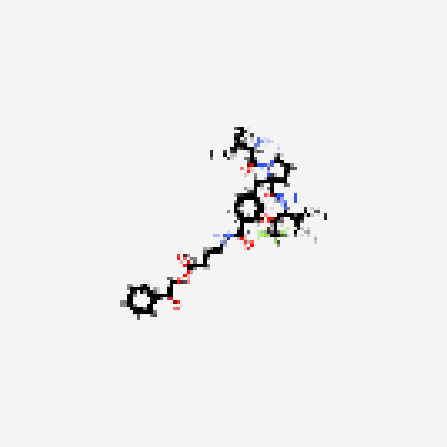 CC(C)C(NC(=O)[C@]1(C(=O)c2ccc(C(=O)NCCCC(=O)OCC(=O)c3ccccc3)cc2)CCCN1C(=O)[C@@H](N)C(C)C)C(=O)C(F)(F)F